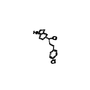 O=C(CCc1ccc(Cl)cc1)c1ccc2[nH]ccc2c1